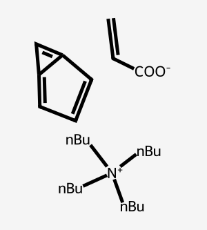 C=CC(=O)[O-].CCCC[N+](CCCC)(CCCC)CCCC.c1cc2cc-2c1